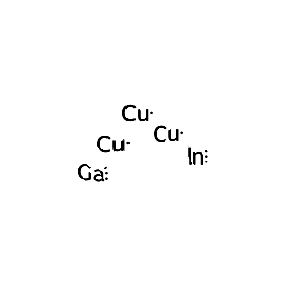 [Cu].[Cu].[Cu].[Ga].[In]